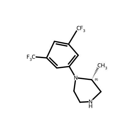 C[C@@H]1CNCCN1c1cc(C(F)(F)F)cc(C(F)(F)F)c1